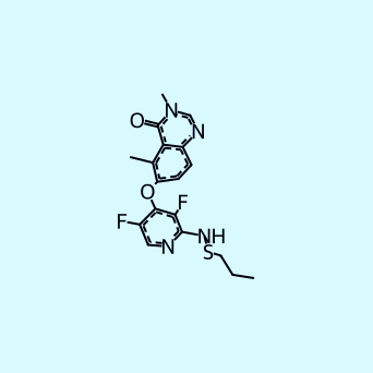 CCCSNc1ncc(F)c(Oc2ccc3ncn(C)c(=O)c3c2C)c1F